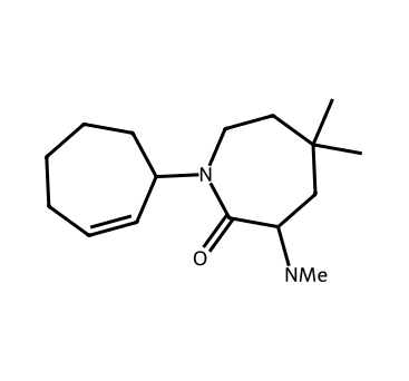 CNC1CC(C)(C)CCN(C2C=CCCCC2)C1=O